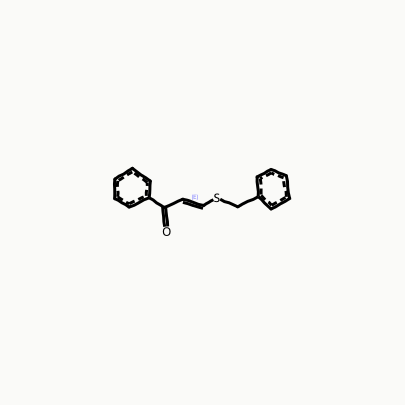 O=C(/C=C/SCc1ccccc1)c1ccccc1